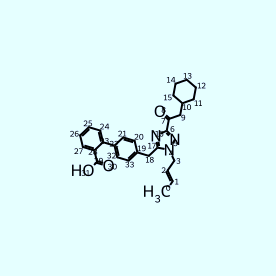 CC=CCn1nc(C(=O)CC2CCCCC2)nc1Cc1ccc(-c2ccccc2C(=O)O)cc1